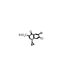 CCOC(=O)c1cn(C2CC2)c2cc(Cl)c(Br)cc2c1=O